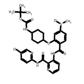 C[S+]([O-])c1ccc(C(=O)Nc2cccnc2C(=O)Nc2ccc(Cl)cn2)c(OC2CCC(NC(=O)OC(C)(C)C)CC2)c1